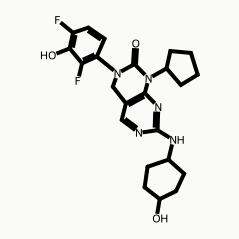 O=C1N(c2ccc(F)c(O)c2F)Cc2cnc(NC3CCC(O)CC3)nc2N1C1CCCC1